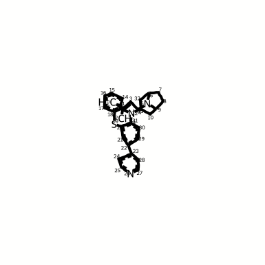 CC(C)=CCN1C2CCC1CC(N1c3ccccc3Sc3cc(-c4ccncc4)ccc31)C2